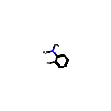 CN(C)c1ccccc1[Te]